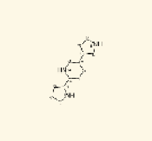 C1CNC(C2CCC(C3CCNC3)CN2)C1